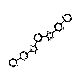 c1ccc(-c2ccc(-c3nnc(-c4cccc(-c5nnc(-c6ccc(-c7ccccn7)nc6)o5)c4)o3)cn2)nc1